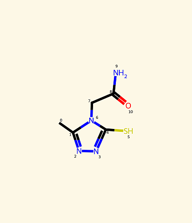 Cc1nnc(S)n1CC(N)=O